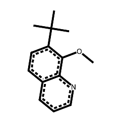 COc1c(C(C)(C)C)ccc2cccnc12